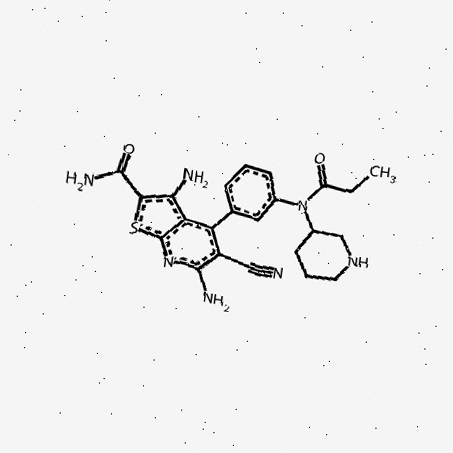 CCC(=O)N(c1cccc(-c2c(C#N)c(N)nc3sc(C(N)=O)c(N)c23)c1)C1CCCNC1